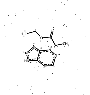 CCOC(=O)CC.c1cc2[nH]nnc2nn1